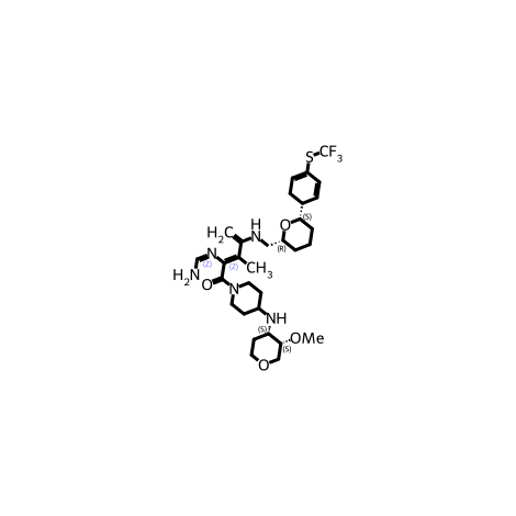 C=C(NC[C@H]1CCC[C@@H](C2C=CC(SC(F)(F)F)=CC2)O1)/C(C)=C(\N=C/N)C(=O)N1CCC(N[C@H]2CCOC[C@H]2OC)CC1